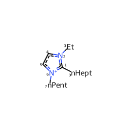 CCCCCCCc1n(CC)cc[n+]1CCCCC